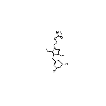 CCc1nn(CCOC(N)=O)c(CC)c1Cc1cc(Cl)cc(Cl)c1